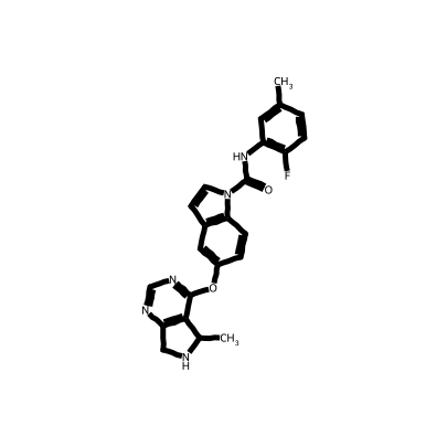 Cc1ccc(F)c(NC(=O)n2ccc3cc(Oc4ncnc5c4C(C)NC5)ccc32)c1